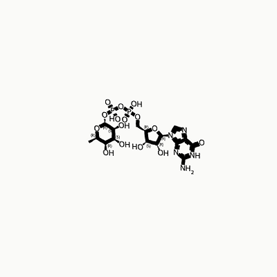 C[C@H]1O[C@H](OP(=O)(O)OP(=O)(O)OC[C@H]2O[C@@H](n3cnc4c(=O)[nH]c(N)nc43)[C@H](O)[C@@H]2O)[C@@H](O)[C@@H](O)[C@H]1O